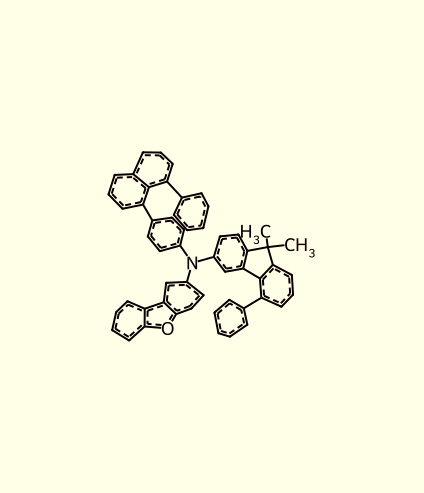 CC1(C)c2ccc(N(c3ccc(-c4cccc5cccc(-c6ccccc6)c45)cc3)c3ccc4oc5ccccc5c4c3)cc2-c2c(-c3ccccc3)cccc21